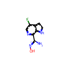 N/C(=N\O)c1ncc(F)c2cc[nH]c12